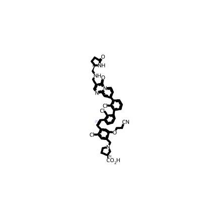 N#CCCOc1cc(/C=C\c2cccc(-c3cccc(-c4ccn5c(=O)c(CNC[C@H]6CCC(=O)N6)cnc5c4)c3Cl)c2Cl)c(Cl)cc1CN1CC[C@H](C(=O)O)C1